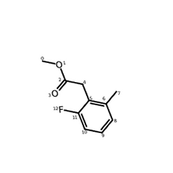 COC(=O)Cc1c(C)cccc1F